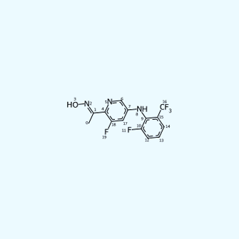 C/C(=N\O)c1ncc(Nc2c(F)cccc2C(F)(F)F)cc1F